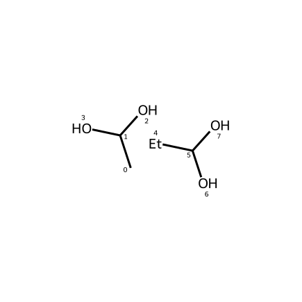 CC(O)O.CCC(O)O